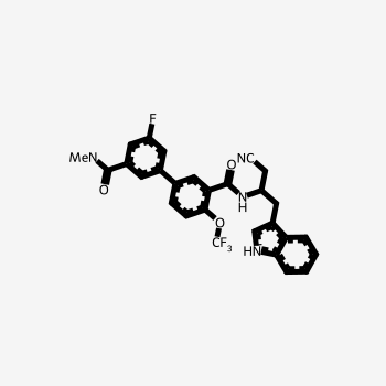 CNC(=O)c1cc(F)cc(-c2ccc(OC(F)(F)F)c(C(=O)NC(CC#N)Cc3c[nH]c4ccccc34)c2)c1